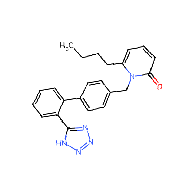 CCCCc1cccc(=O)n1Cc1ccc(-c2ccccc2-c2nnn[nH]2)cc1